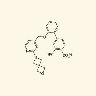 CC(C)c1cc(-c2ccccc2OCc2ccnc(N3CC4(COC4)C3)n2)ccc1C(=O)O